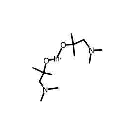 CN(C)CC(C)(C)[O][In][O]C(C)(C)CN(C)C